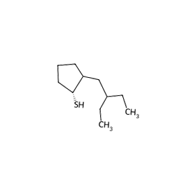 CCC(CC)CC1CCC[C@H]1S